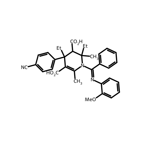 CCC1(c2ccc(C#N)cc2)C(C(=O)O)=C(C)N(C(=Nc2ccccc2OC)c2ccccc2)C(C)(CC)C1C(=O)O